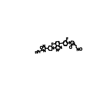 CCCc1nc(C2CCN(c3ncnc4c(-c5ccc(N6CCN(CCN=O)C6=O)c(F)c5)ccc(F)c34)CC2)no1